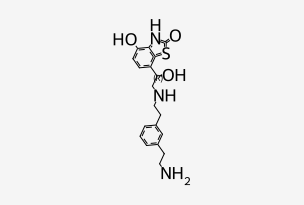 NCCc1cccc(CCNC[C@H](O)c2ccc(O)c3[nH]c(=O)sc23)c1